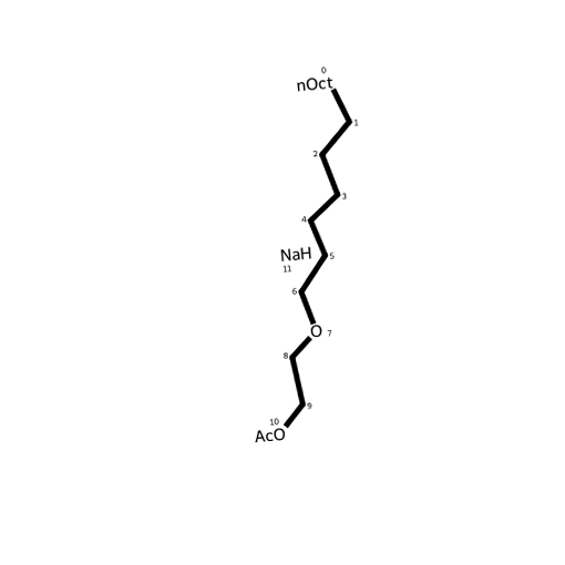 CCCCCCCCCCCCCCOCCOC(C)=O.[NaH]